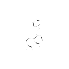 Clc1ccc2c(SCc3ccccc3)cccc2c1